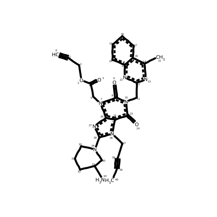 C#CCOC(=O)Cn1c(=O)n(Cc2nc(C)c3ccccc3n2)c(=O)c2c1nc(N1CCCC(N)C1)n2CC#CC